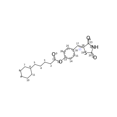 O=C(CCCCC1CCCCC1)Oc1ccc(/C=C2\SC(=O)NC2=O)cc1